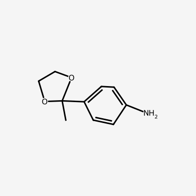 CC1(c2ccc(N)cc2)OCCO1